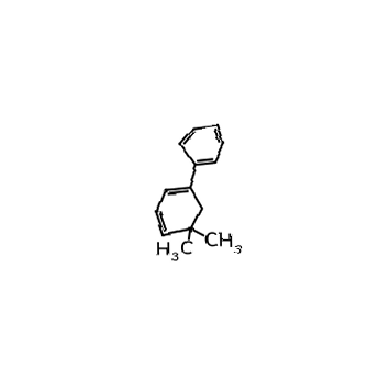 CC1(C)C=CC=C(c2ccccc2)C1